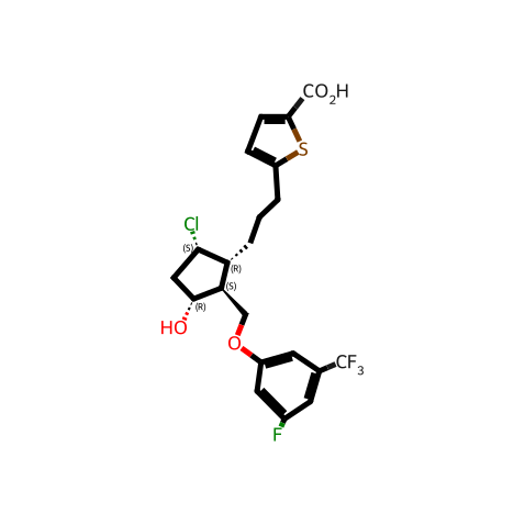 O=C(O)c1ccc(CCC[C@@H]2[C@@H](COc3cc(F)cc(C(F)(F)F)c3)[C@H](O)C[C@@H]2Cl)s1